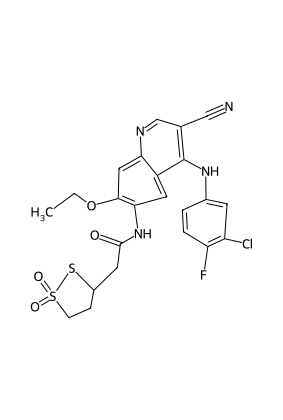 CCOc1cc2ncc(C#N)c(Nc3ccc(F)c(Cl)c3)c2cc1NC(=O)CC1CCS(=O)(=O)S1